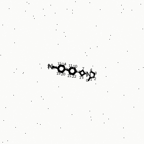 CC1CCCN1[C@H]1C[C@H](c2ccc(-c3ccc(C#N)cc3)cc2)C1